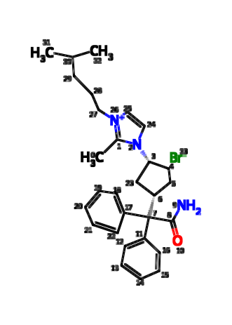 Cc1n([C@@H]2CC[C@H](C(C(N)=O)(c3ccccc3)c3ccccc3)C2)cc[n+]1CCCC(C)C.[Br-]